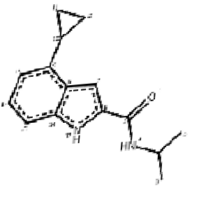 CC(C)NC(=O)c1cc2c(C3CC3)cccc2[nH]1